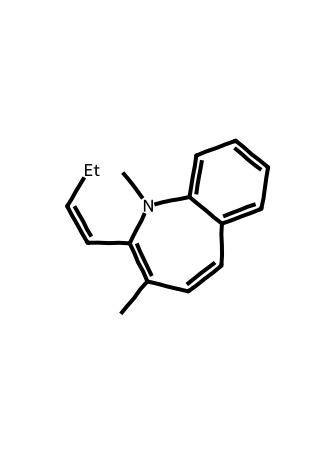 CC/C=C\C1=C(C)C=Cc2ccccc2N1C